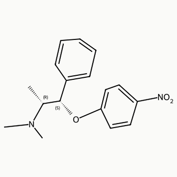 C[C@H]([C@@H](Oc1ccc([N+](=O)[O-])cc1)c1ccccc1)N(C)C